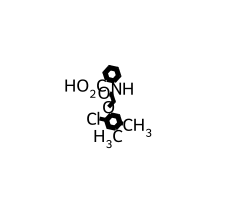 Cc1cc(Cl)c(OCC(=O)Nc2ccccc2C(=O)O)cc1C